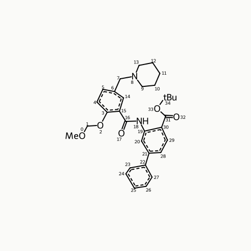 COCOc1ccc(CN2CCCCC2)cc1C(=O)Nc1cc(-c2ccccc2)ccc1C(=O)OC(C)(C)C